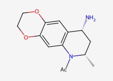 CC(=O)N1c2cc3c(cc2[C@H](N)C[C@@H]1C)OCCO3